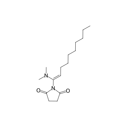 CCCCCCCC/C=C(\N(C)C)N1C(=O)CCC1=O